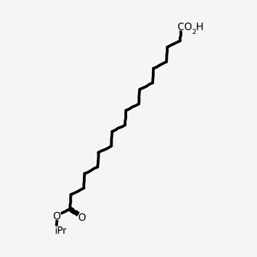 CC(C)OC(=O)CCCCCCCCCCCCCCCCC(=O)O